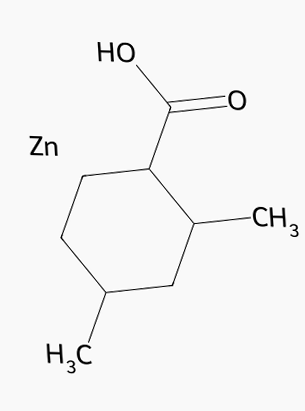 CC1CCC(C(=O)O)C(C)C1.[Zn]